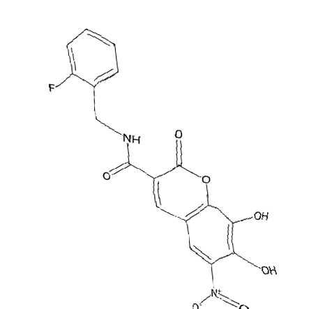 O=C(NCc1ccccc1F)c1cc2cc([N+](=O)[O-])c(O)c(O)c2oc1=O